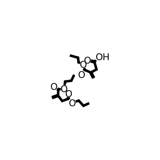 C=C(CC(=O)O)C(=O)OCCC.C=C(CC(=O)OCCC)C(=O)OCCC